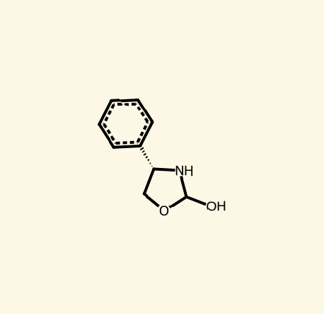 OC1N[C@@H](c2ccccc2)CO1